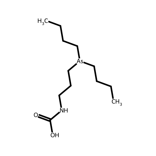 CCCC[As](CCCC)CCCNC(=O)O